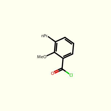 CCCc1cccc(C(=O)Cl)c1OC